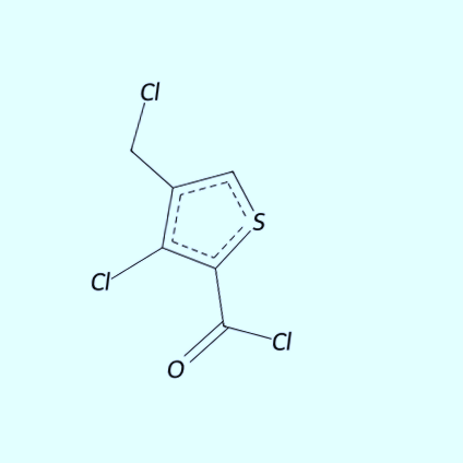 O=C(Cl)c1scc(CCl)c1Cl